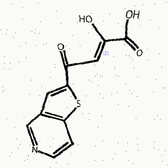 O=C(O)/C(O)=C/C(=O)c1cc2cnccc2s1